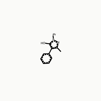 Cc1nn(C(C)C)c(O)c1-c1ccccc1